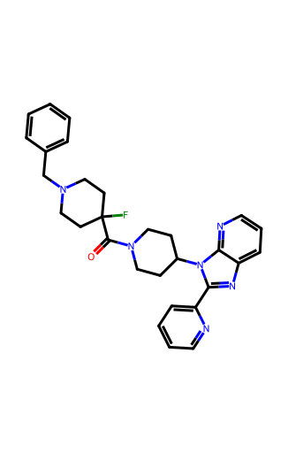 O=C(N1CCC(n2c(-c3ccccn3)nc3cccnc32)CC1)C1(F)CCN(Cc2ccccc2)CC1